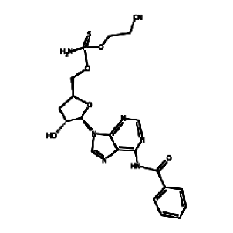 N#CCCOP(N)(=S)OC[C@@H]1C[C@@H](O)[C@H](n2cnc3c(NC(=O)c4ccccc4)ncnc32)O1